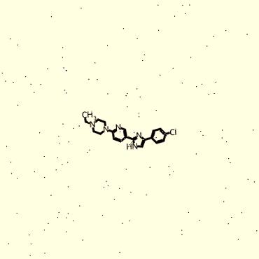 CCN1CCN(c2ccc(-c3nc(-c4ccc(Cl)cc4)c[nH]3)cn2)CC1